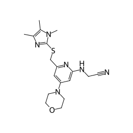 Cc1nc(SCc2cc(N3CCOCC3)cc(NCC#N)n2)n(C)c1C